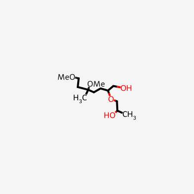 COCCC(C)(CCC(CO)OCC(C)O)OC